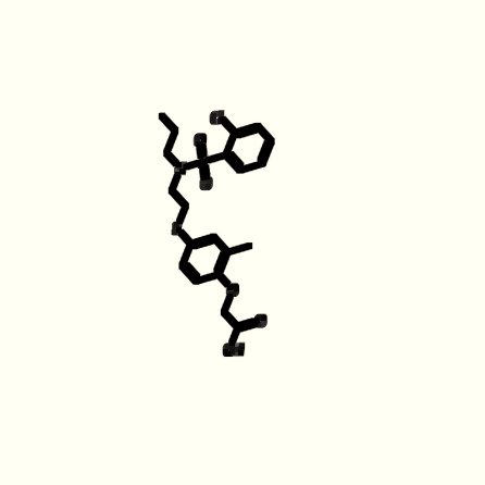 CCCN(CCSc1ccc(OCC(=O)O)c(C)c1)S(=O)(=O)c1ccccc1Cl